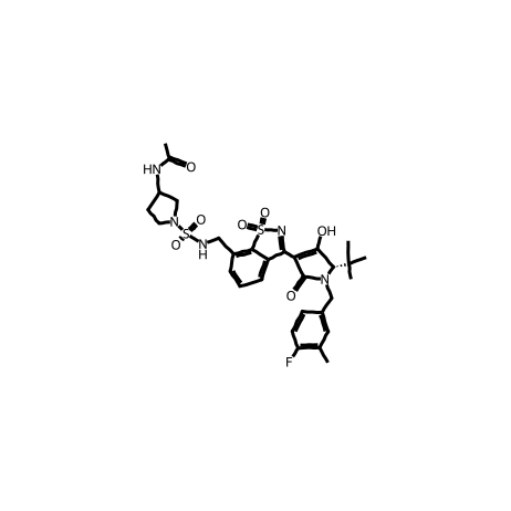 CC(=O)NC1CCN(S(=O)(=O)NCc2cccc3c2S(=O)(=O)N=C3C2=C(O)[C@H](C(C)(C)C)N(Cc3ccc(F)c(C)c3)C2=O)C1